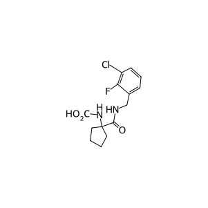 O=C(O)NC1(C(=O)NCc2cccc(Cl)c2F)CCCC1